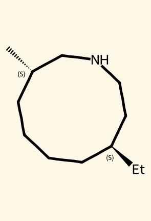 CC[C@H]1CCCC[C@H](C)CNCC1